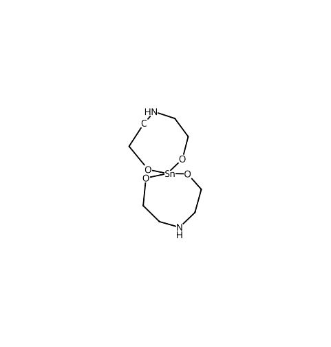 C1C[O][Sn]2([O]CCN1)[O]CCNCC[O]2